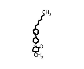 CCCCCCCc1ccc(-c2ccc([C@H]3CC[C@H](C)CC3=O)cc2)cc1